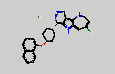 Cl.ClC1=CCNc2c3c([nH]c2=C1)=C([C@H]1CC[C@H](Oc2cccc4ccccc24)CC1)N=NC3